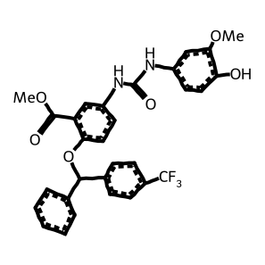 COC(=O)c1cc(NC(=O)Nc2ccc(O)c(OC)c2)ccc1OC(c1ccccc1)c1ccc(C(F)(F)F)cc1